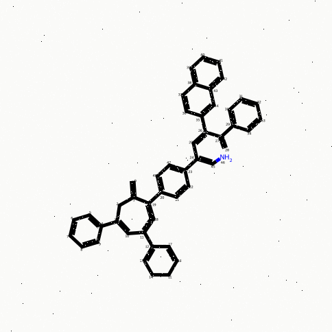 C=C1CC(c2ccccc2)=CC(C2=CCCC=C2)=C=C1c1ccc(C(/C=C(\C(=C)c2ccccc2)c2ccc3ccccc3c2)=C/N)cc1